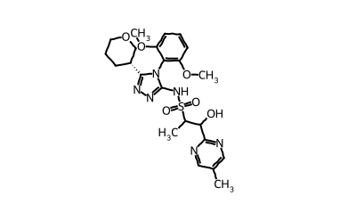 COc1cccc(OC)c1-n1c(NS(=O)(=O)C(C)C(O)c2ncc(C)cn2)nnc1[C@@H]1CCCOC1